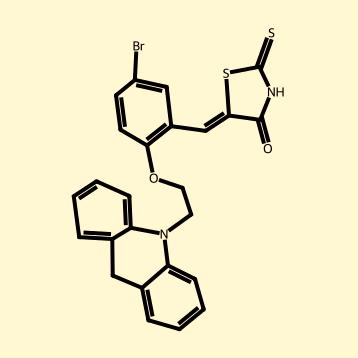 O=C1NC(=S)SC1=Cc1cc(Br)ccc1OCCN1c2ccccc2Cc2ccccc21